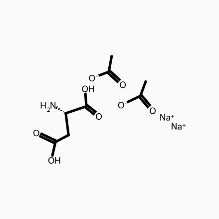 CC(=O)[O-].CC(=O)[O-].N[C@@H](CC(=O)O)C(=O)O.[Na+].[Na+]